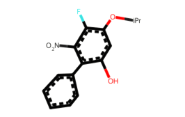 CC(C)Oc1cc(O)c(-c2ccccc2)c([N+](=O)[O-])c1F